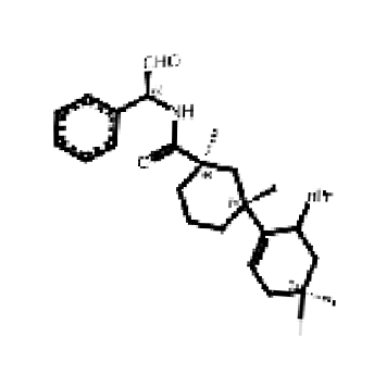 CCCC1C[C@@](C)(I)CC=C1[C@]1(C)CCC[C@@](C)(C(=O)N[C@H](C=O)c2ccccc2)C1